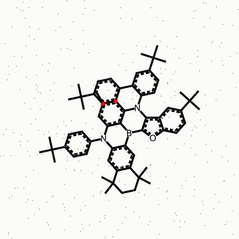 Cc1cc2c3c(c1)N(c1ccc(C(C)(C)C)cc1-c1ccc(C(C)(C)C)cc1)c1c(oc4ccc(C(C)(C)C)cc14)B3c1cc3c(cc1N2c1ccc(C(C)(C)C)cc1)C(C)(C)CCC3(C)C